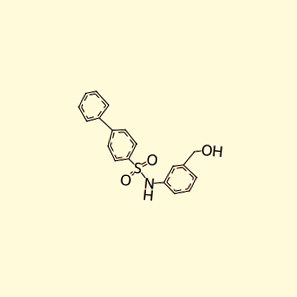 O=S(=O)(Nc1cccc(CO)c1)c1ccc(-c2ccccc2)cc1